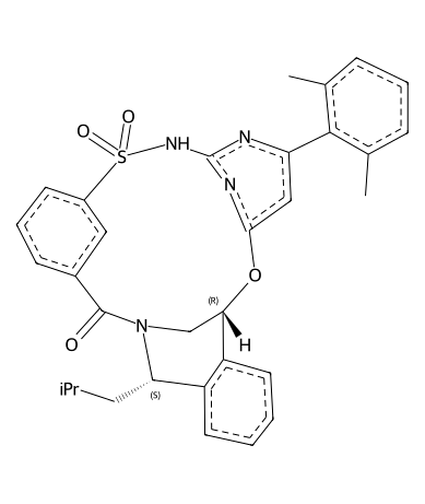 Cc1cccc(C)c1-c1cc2nc(n1)NS(=O)(=O)c1cccc(c1)C(=O)N1C[C@H](O2)c2ccccc2[C@@H]1CC(C)C